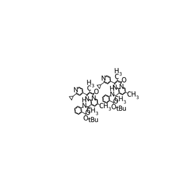 Cc1cc(C(C)Nc2ccccc2C(=O)OC(C)(C)C)c2nc(-c3ccnc(C4CC4)c3)c(C)c(=O)n2c1.Cc1cc([C@H](C)Nc2ccccc2C(=O)OC(C)(C)C)c2nc(-c3ccnc(C4CC4)c3)c(C)c(=O)n2c1